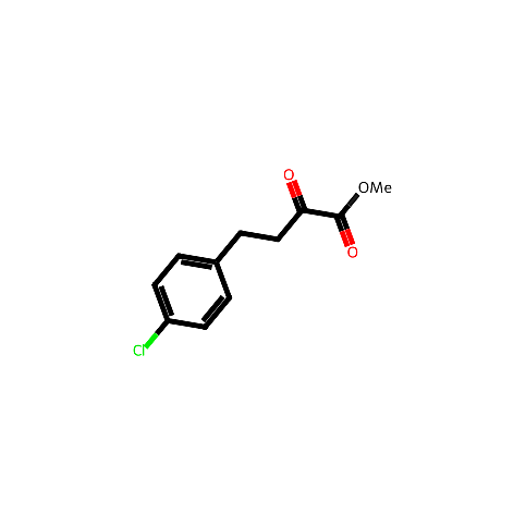 COC(=O)C(=O)CCc1ccc(Cl)cc1